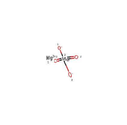 [Mg+2].[O]=[Mo](=[O])([O-])[O-]